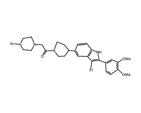 CCc1c(-c2ccc(OC)c(OC)c2)[nH]c2ccc(C3CCN(C(=O)CN4CCN(C(C)=O)CC4)CC3)cc12